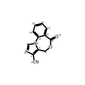 N#Cc1ncn2c1COC(=O)c1ccccc1-2